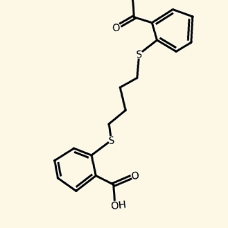 O=C(O)c1ccccc1SCCCCSc1ccccc1C(=O)O